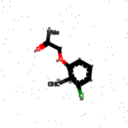 CNC(=O)COc1cccc(Cl)c1C=O